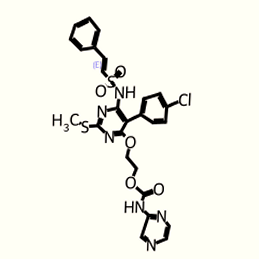 CSc1nc(NS(=O)(=O)/C=C/c2ccccc2)c(-c2ccc(Cl)cc2)c(OCCOC(=O)Nc2cnccn2)n1